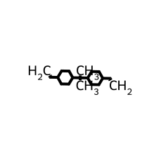 C=CC1CCC(C(C)(C)C2CCC(C=C)CC2)CC1